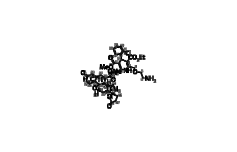 CCOC(=O)C1=C(COCCN)NC(C)=C(C(=O)OC)C1c1ccccc1Cl.COC(=O)[C@@H]1CC2=CC(=O)CC[C@]2(C)[C@@]23O[C@@H]2C[C@@]2(C)[C@@H](CC[C@@]24CCC(=O)O4)[C@H]13